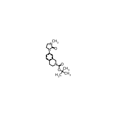 CN1CCN(c2ccc3c(c2)CN(C(=O)OC(C)(C)C)CC3)C1=O